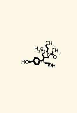 C#Cc1ccc([C@@H](CCO)C(COC)CN(CCCC)C(C)=O)cc1